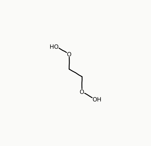 OOCCOO